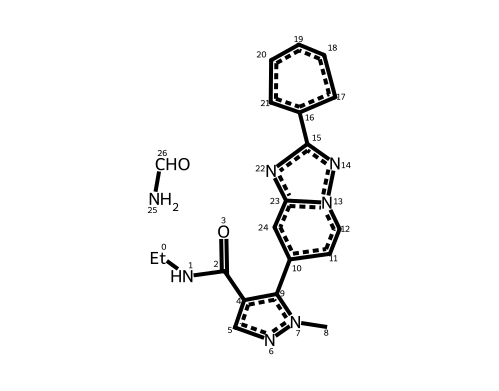 CCNC(=O)c1cnn(C)c1-c1ccn2nc(-c3ccccc3)nc2c1.NC=O